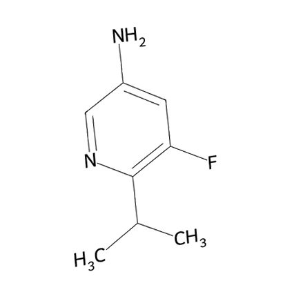 CC(C)c1ncc(N)cc1F